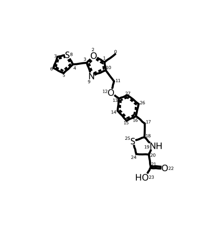 Cc1oc(-c2cccs2)nc1COc1ccc(CC2NC(C(=O)O)CS2)cc1